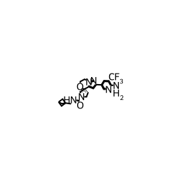 Nc1ncc(-c2cc3n(n2)CCO[C@@]32CCN(C(=O)NCC34CC(C3)C4)C2)cc1C(F)(F)F